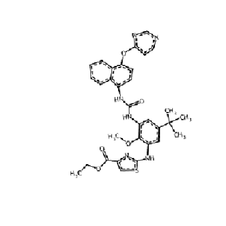 CCOC(=O)c1csc(Nc2cc(C(C)(C)C)cc(NC(=O)Nc3ccc(Oc4ccncn4)c4ccccc34)c2OC)n1